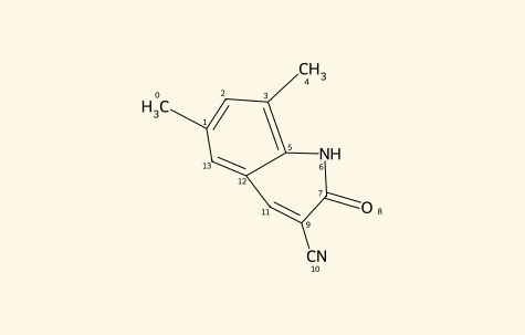 Cc1cc(C)c2[nH]c(=O)c(C#N)cc2c1